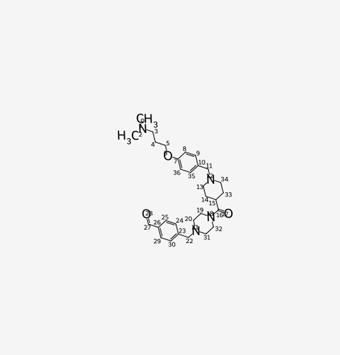 CN(C)CCCOc1ccc(CN2CCC(C(=O)N3CCN(Cc4ccc(C=O)cc4)CC3)CC2)cc1